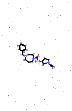 N#CN1CC[C@@H](NC(=O)N2CCCN(Cc3ccccc3)CC2)C1